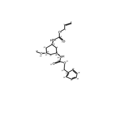 C=CCOC(=O)N[C@H]1C[C@@H](NC(=O)OCc2ccccc2)C[C@@H](OC)C1